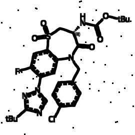 CC(C)(C)OC(=O)N[C@H]1CS(=O)(=O)c2cc(F)c(-n3cnc(C(C)(C)C)n3)cc2N(Cc2ccc(Cl)cc2)C1=O